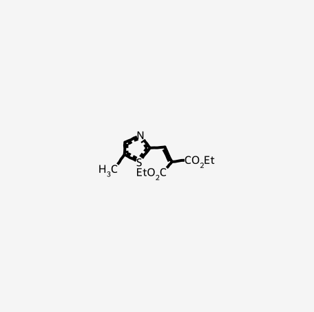 CCOC(=O)C(=Cc1ncc(C)s1)C(=O)OCC